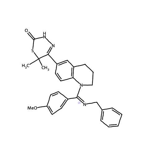 COc1ccc(/C(=N/Cc2ccccc2)N2CCCc3cc(C4=NNC(=O)SC4(C)C)ccc32)cc1